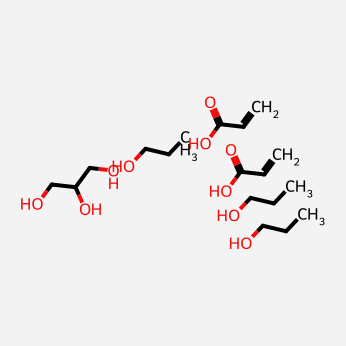 C=CC(=O)O.C=CC(=O)O.CCCO.CCCO.CCCO.OCC(O)CO